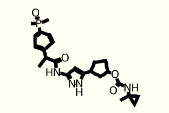 CC(C(=O)Nc1cc(C2CCC(OC(=O)NC3(C)CC3)C2)[nH]n1)c1ccc(P(C)(C)=O)cc1